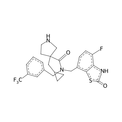 O=C(N(Cc1cccc(C(F)(F)F)c1)Cc1ccc(F)c2[nH]c(=O)sc12)C1(CC2CC2)CCNC1